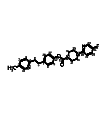 Cc1ccc(CCc2ccc(OC(=O)N3CCN(c4ccc(F)cn4)CC3)cc2)nc1